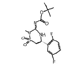 CN1/C(=N/C(=O)OC(C)(C)C)N[C@H](c2cc(F)ccc2F)CS1(=O)=O